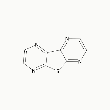 c1cnc2c(n1)sc1nccnc12